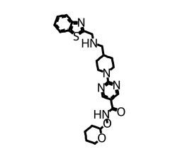 O=C(NOC1CCCCO1)c1cnc(N2CCC(CNCc3nc4ccccc4s3)CC2)nc1